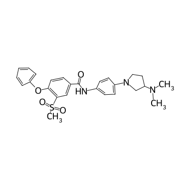 CN(C)C1CCN(c2ccc(NC(=O)c3ccc(Oc4ccccc4)c(S(C)(=O)=O)c3)cc2)C1